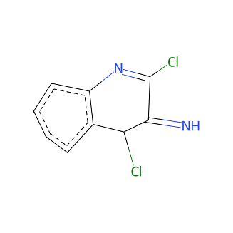 N=C1C(Cl)=Nc2ccccc2C1Cl